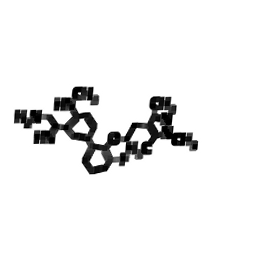 CNc1ccc(-c2cccc(F)c2OCCc2c(C)nn(C)c2C)cc1C(=N)CN